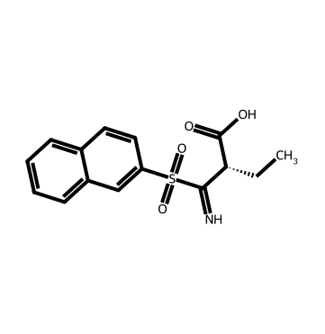 CC[C@H](C(=N)S(=O)(=O)c1ccc2ccccc2c1)C(=O)O